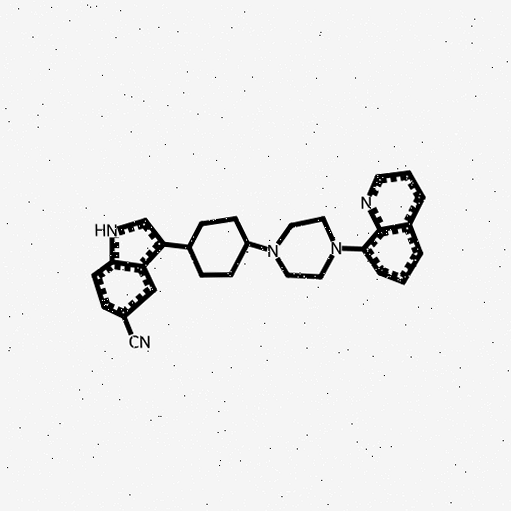 N#Cc1ccc2[nH]cc(C3CCC(N4CCN(c5cccc6cccnc56)CC4)CC3)c2c1